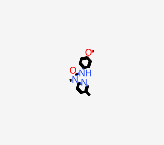 COc1ccc(NC(=O)N(C)c2ccc(C)cn2)cc1